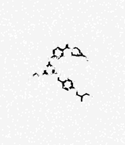 CC(CBr)COc1ccc(CNc2nc(Nc3ccc(C(=O)N4CC5C(C4)C5NC(=O)O)cc3)nc(OCC(F)(F)F)n2)cc1